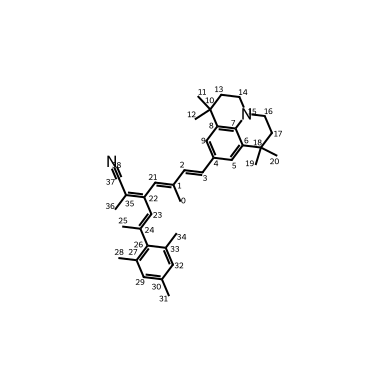 CC(/C=C/c1cc2c3c(c1)C(C)(C)CCN3CCC2(C)C)=C\C(\C=C(/C)c1c(C)cc(C)cc1C)=C(\C)C#N